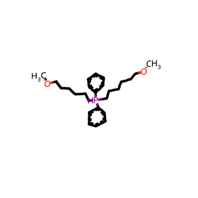 COCCCCCC[PH](CCCCCCOC)(c1ccccc1)c1ccccc1